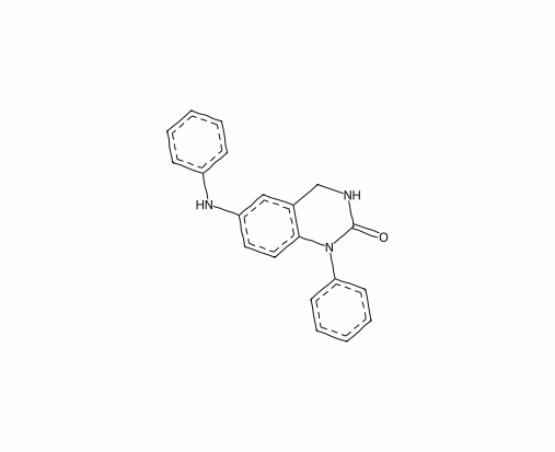 O=C1NCc2cc(Nc3ccccc3)ccc2N1c1ccccc1